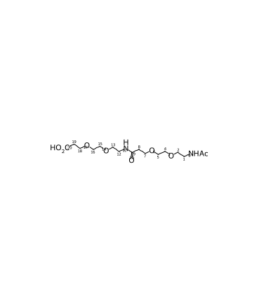 CC(=O)NCCOCCOCCC(=O)NCCOCCOCCC(=O)O